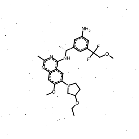 CCOC1CCN(c2cc3c(N[C@H](C)c4cc(N)cc(C(F)(F)COC)c4)nc(C)nc3cc2OC)C1